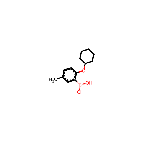 Cc1ccc(OC2CCCCC2)c(B(O)O)c1